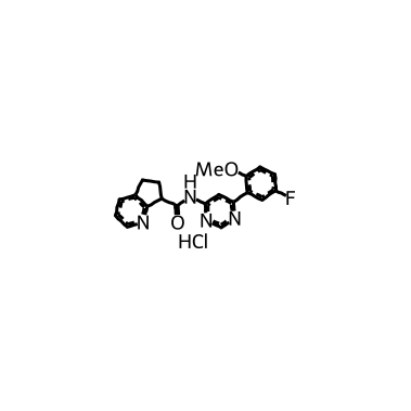 COc1ccc(F)cc1-c1cc(NC(=O)C2CCc3cccnc32)ncn1.Cl